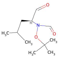 CC(C)C[C@@H](C=O)N(C=O)OC(C)(C)C